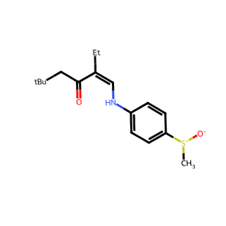 CC/C(=C/Nc1ccc([S+](C)[O-])cc1)C(=O)CC(C)(C)C